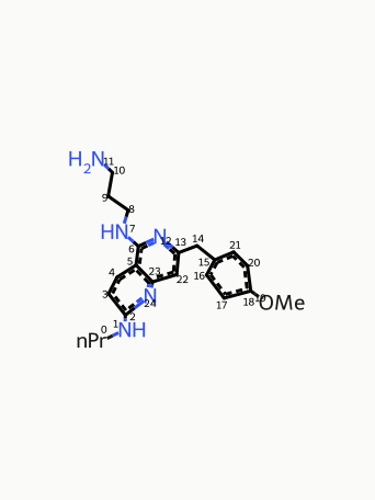 [CH2]CCNc1ccc2c(NCCCN)nc(Cc3ccc(OC)cc3)cc2n1